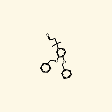 CC(C)(CC=O)c1ccc(OCc2ccccc2)c(OCc2ccccc2)c1